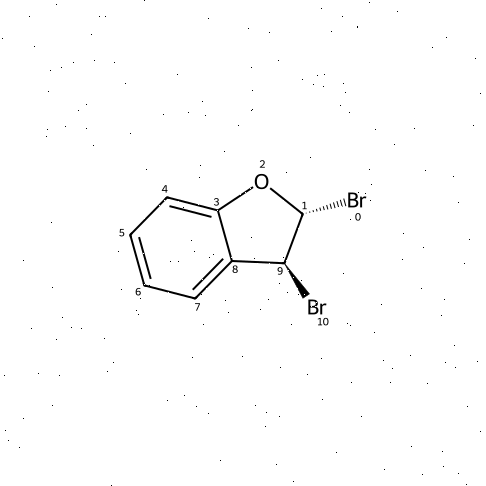 Br[C@H]1Oc2ccccc2[C@@H]1Br